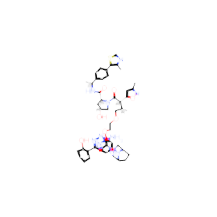 Cc1cc([C@H](C(=O)N2C[C@H](O)C[C@H]2C(=O)N[C@@H](C)c2ccc(-c3scnc3C)cc2)[C@@H](C)COCCOc2cc(N3C4CCC3CN(c3cc(-c5ccccc5O)nnc3N)C4)ccn2)on1